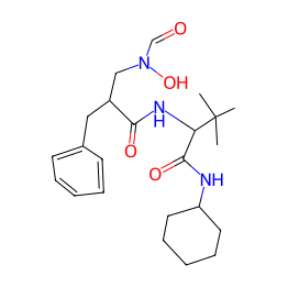 CC(C)(C)C(NC(=O)C(Cc1ccccc1)CN(O)C=O)C(=O)NC1CCCCC1